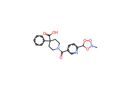 CN1OOC(c2ccc(C(=O)N3CCC(C(=O)O)(c4ccccc4)CC3)cn2)O1